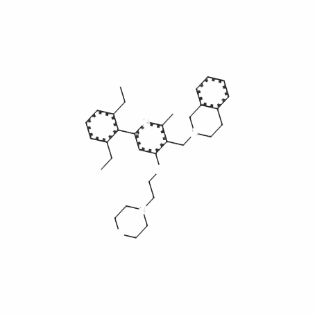 CCc1cccc(CC)c1-c1cc(OCCN2CCOCC2)c(CN2CCc3ccccc3C2)c(C)n1